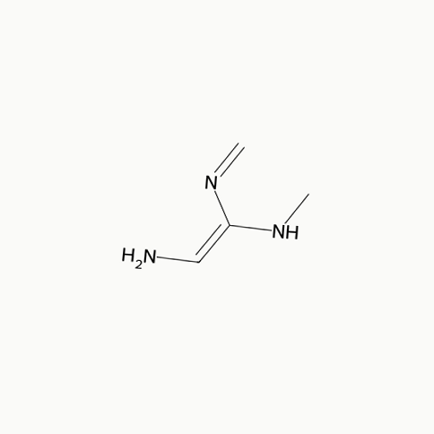 C=N/C(=C\N)NC